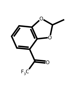 CC1Oc2cccc(C(=O)C(F)(F)F)c2O1